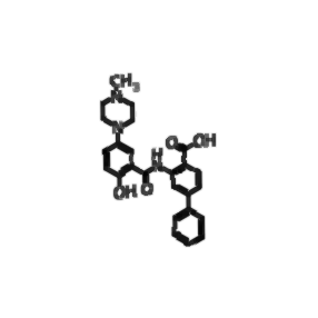 CN1CCN(c2ccc(O)c(C(=O)Nc3cc(-c4ccccc4)ccc3C(=O)O)c2)CC1